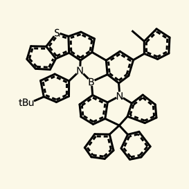 Cc1ccccc1-c1cc2c3c(c1)N1c4ccccc4C(c4ccccc4)(c4ccccc4)c4cccc(c41)B3N(c1ccc(C(C)(C)C)cc1)c1c-2ccc2sc3ccccc3c12